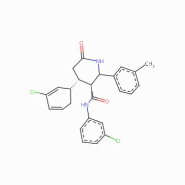 Cc1cccc(C2NC(=O)C[C@@H](C3C=C(Cl)C=CC3)[C@@H]2C(=O)Nc2cccc(Cl)c2)c1